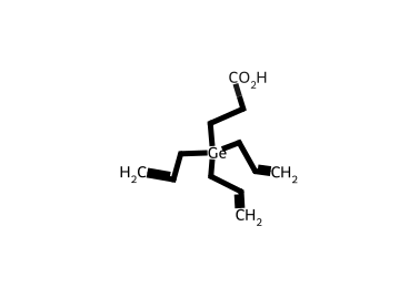 C=C[CH2][Ge]([CH2]C=C)([CH2]C=C)[CH2]CC(=O)O